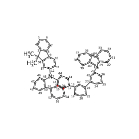 CC1(C)c2ccccc2-c2ccc(N(c3ccc(-c4cccc(-c5cccc(-n6c7ccccc7c7ccccc76)c5)c4)cc3)c3ccccc3-c3ccccc3)cc21